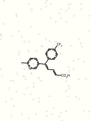 Cc1ccc(/C(=C/C=C/C(=O)O)c2ccc(C(F)(F)F)cc2)cn1